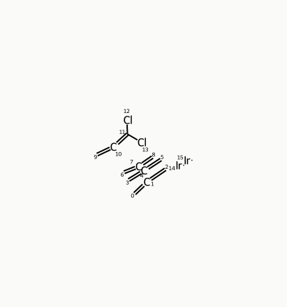 C=C=C.C=C=C.C=C=C.C=C=C(Cl)Cl.[Ir].[Ir]